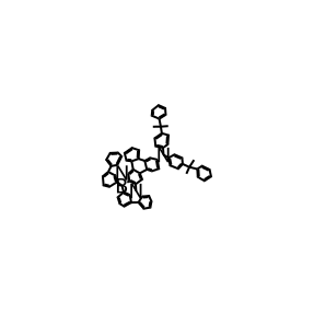 CC(C)(c1ccccc1)c1ccc(N(c2ccc(C(C)(C)c3ccccc3)cc2)c2ccc3c(c2)c2ccccc2c2c4c5c(cc32)-n2c3ccccc3c3cccc(c32)B5c2cccc3c5ccccc5n-4c23)cc1